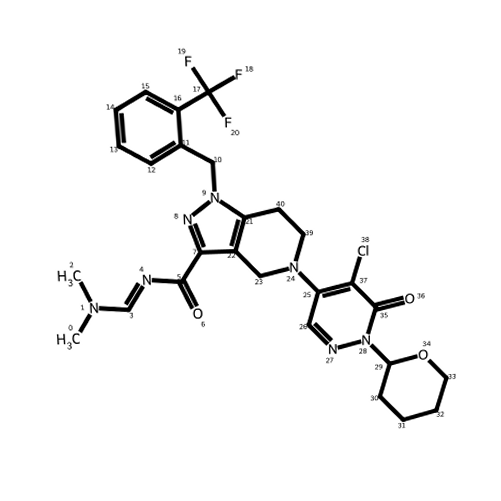 CN(C)/C=N/C(=O)c1nn(Cc2ccccc2C(F)(F)F)c2c1CN(c1cnn(C3CCCCO3)c(=O)c1Cl)CC2